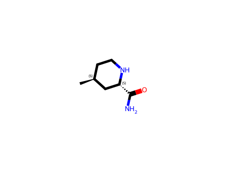 C[C@H]1CCN[C@H](C(N)=O)C1